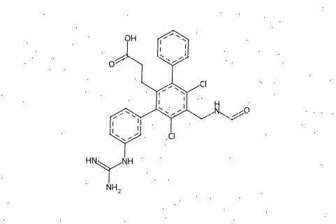 N=C(N)Nc1cccc(-c2c(Cl)c(CNC=O)c(Cl)c(-c3ccccc3)c2CCC(=O)O)c1